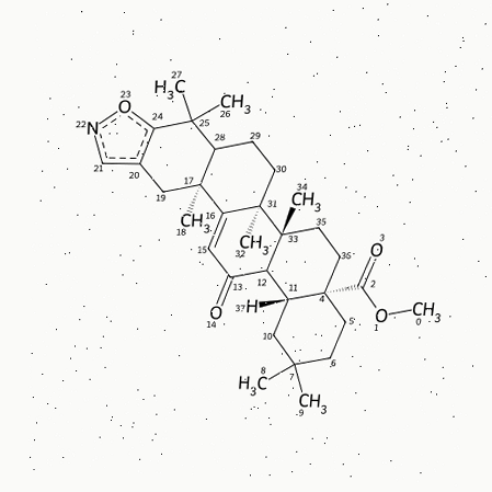 COC(=O)[C@]12CCC(C)(C)C[C@@H]1C1C(=O)C=C3[C@@]4(C)Cc5cnoc5C(C)(C)C4CC[C@@]3(C)[C@]1(C)CC2